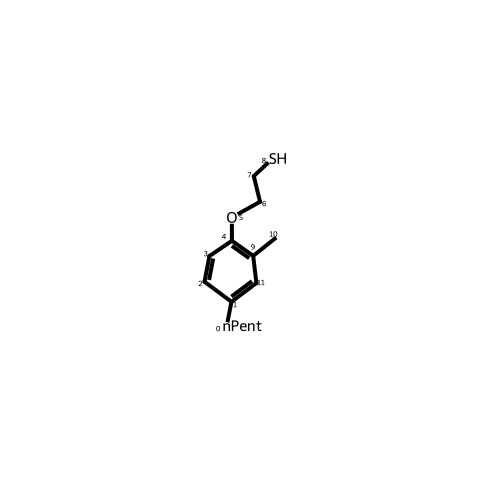 CCCCCc1ccc(OCCS)c(C)c1